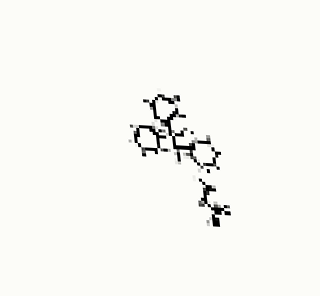 CC(C)(C)[Si](O[C@@H]1CCC[C@H](C/C=C/C(=O)O)C1)(c1ccccc1)c1ccccc1